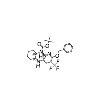 CC(C)(C)OC(=O)N[C@@H]1CCCC[C@H]1Nc1cc(C(F)(F)F)c(OCc2ccccc2)nn1